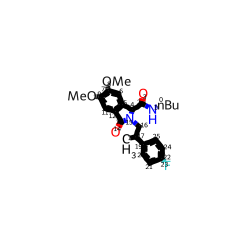 CCCCNC(=O)C1c2cc(OC)c(OC)cc2C(=O)N1CC(C)c1ccc(F)cc1